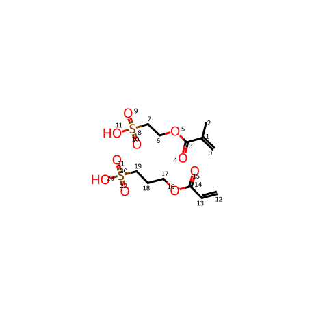 C=C(C)C(=O)OCCS(=O)(=O)O.C=CC(=O)OCCCS(=O)(=O)O